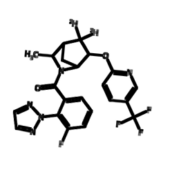 [2H]C1([2H])C2CC(C1Oc1ccc(C(F)(F)F)cn1)N(C(=O)c1cccc(F)c1-n1nccn1)C2C